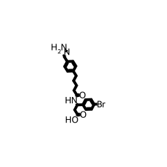 NN=Cc1ccc(CCCCC(=O)NC(CC(=O)O)c2ccc(Br)cc2)cc1